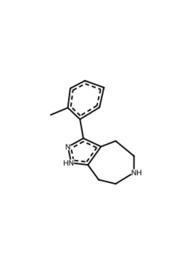 Cc1ccccc1-c1n[nH]c2c1CCNCC2